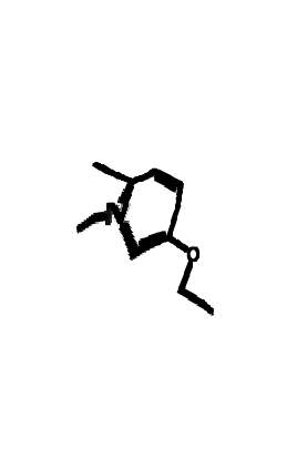 CCOC1=CN(C)C(C)C=C1